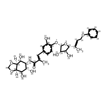 CC(=Cc1ccc(O[C@@H]2O[C@H](C(C)=CCOc3ccccc3)[C@@H](O)[C@@H]2O)c(O)c1)C(=O)N[C@@H]1[C@H](O)[C@@H](O)[C@H]2OCO[C@H]2[C@@H]1O